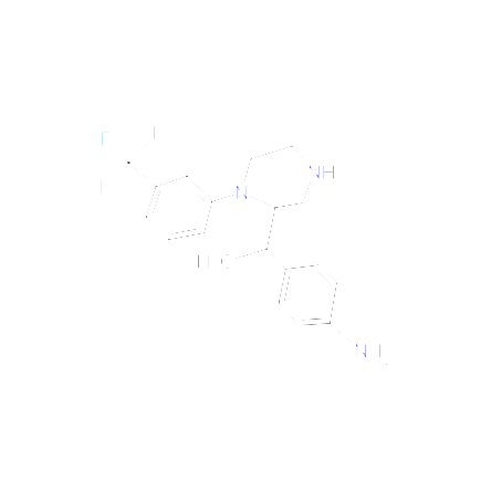 CC(c1ccc(N)cc1)C1CNCCN1c1cccc(C(F)(F)F)c1